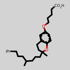 CC(C)CCCC(C)CCCC1(C)CCc2cc(OCCCCC(=O)O)ccc2O1